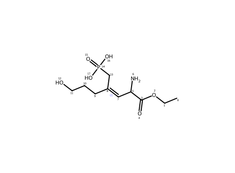 CCOC(=O)C(N)/C=C(/CCCO)CP(=O)(O)O